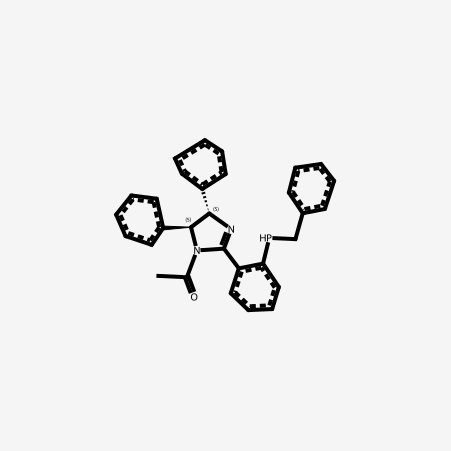 CC(=O)N1C(c2ccccc2PCc2ccccc2)=N[C@@H](c2ccccc2)[C@@H]1c1ccccc1